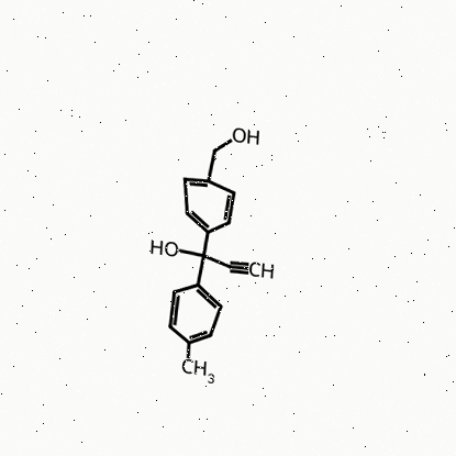 C#CC(O)(c1ccc(C)cc1)c1ccc(CO)cc1